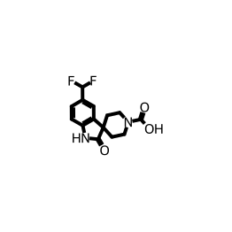 O=C(O)N1CCC2(CC1)C(=O)Nc1ccc(C(F)F)cc12